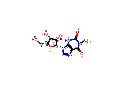 Cn1c(=O)[nH]c2c(ncn2[C@@H]2O[C@H](CO)[C@@H](O)[C@H]2O)c1=O